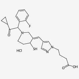 Cl.O=C(O)CCCn1cc(/C=C2/CN(C(C(=O)C3CC3)c3ccccc3F)CCC2S)cn1